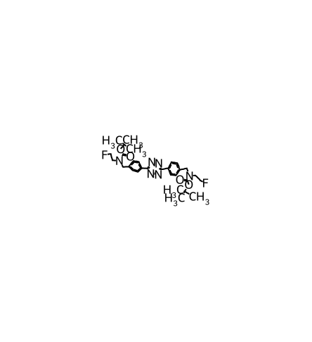 CC(C)(C)OC(=O)N(CCF)Cc1ccc(-c2nnc(-c3ccc(CN(CCF)C(=O)OC(C)(C)C)cc3)nn2)cc1